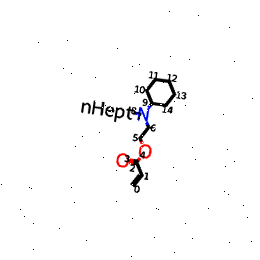 C=CC(=O)OCCN(CCCCCCC)C1CCCCC1